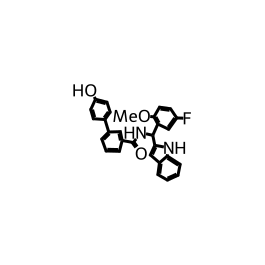 COc1ccc(F)cc1C(NC(=O)c1cccc(-c2ccc(O)cc2)c1)c1cc2ccccc2[nH]1